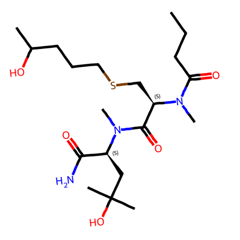 CCCC(=O)N(C)[C@H](CSCCCC(C)O)C(=O)N(C)[C@@H](CC(C)(C)O)C(N)=O